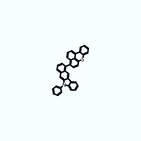 c1ccc(-n2c3ccccc3c3cc4c(-c5ccc6c7c(cccc57)-c5ccccc5S6)cccc4cc32)cc1